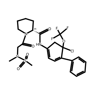 CN(CC(=O)N1CCCC[C@@H]1C(=O)NC1=CC=C(c2ccccc2)C(Cl)(OC(F)(F)F)C1)S(C)(=O)=O